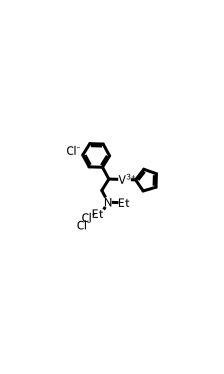 CCN(CC)C[CH]([V+3][C]1=CC=CC1)c1ccccc1.[Cl-].[Cl-].[Cl-]